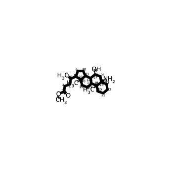 COC(=O)CCC(C)C1CCC2C3C(CC[C@]12C)[C@@]1(C)CCCCC1(N)C[C@H]3O